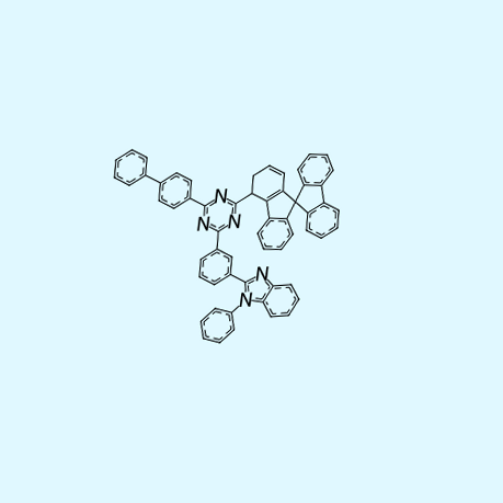 C1=CC2=C(c3ccccc3C23c2ccccc2-c2ccccc23)C(c2nc(-c3ccc(-c4ccccc4)cc3)nc(-c3cccc(-c4nc5ccccc5n4-c4ccccc4)c3)n2)C1